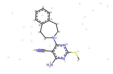 CSc1nc(N)c(C#N)c(N2CCc3ccccc3CC2)n1